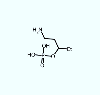 CCC(CCN)OP(=O)(O)O